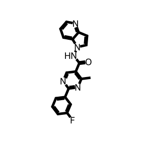 Cc1nc(-c2cccc(F)c2)ncc1C(=O)Nn1ccc2ncccc21